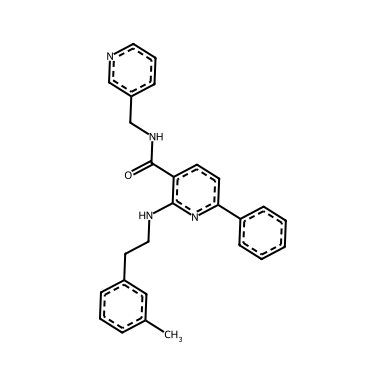 Cc1cccc(CCNc2nc(-c3ccccc3)ccc2C(=O)NCc2cccnc2)c1